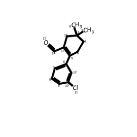 CC1(C)CCC(c2cccc(Cl)c2)=C(C=O)C1